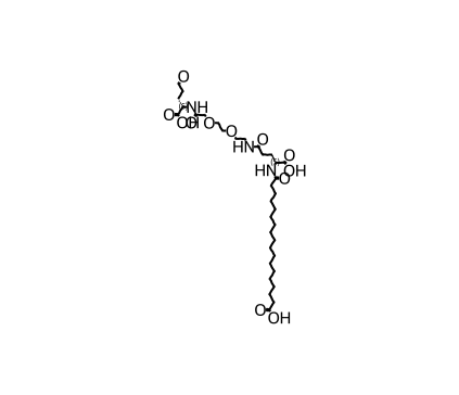 O=CCC[C@H](NC(=O)COCCOCCNC(=O)CC[C@H](NC(=O)CCCCCCCCCCCCCCCCC(=O)O)C(=O)O)C(=O)O